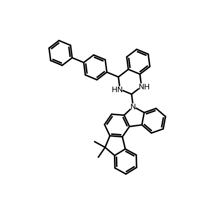 CC1(C)c2ccccc2-c2c1ccc1c2c2ccccc2n1C1Nc2ccccc2C(c2ccc(-c3ccccc3)cc2)N1